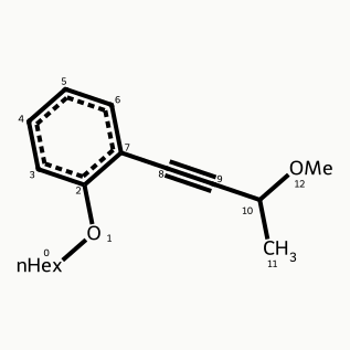 CCCCCCOc1ccccc1C#CC(C)OC